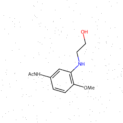 COc1ccc(NC(C)=O)cc1NCCO